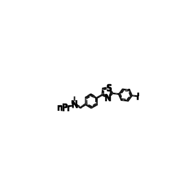 CCCN(C)Cc1ccc(-c2csc(-c3ccc(I)cc3)n2)cc1